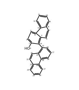 Oc1ccc2c(ccc3ccccc32)c1-c1cccc2c1ccc1ccccc12